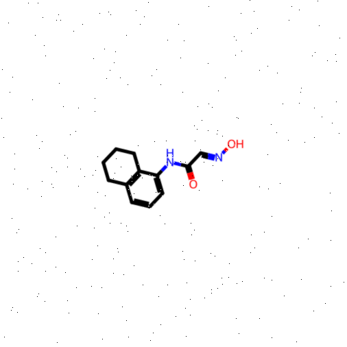 O=C(C=NO)Nc1cccc2c1CCCC2